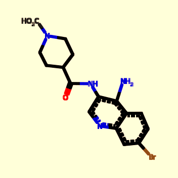 Nc1c(NC(=O)C2CCN(C(=O)O)CC2)cnc2cc(Br)ccc12